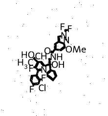 COc1cc(C(=O)NC[C@@](O)(c2ccccc2)c2cc(C(C)(C)O)c(F)c(-c3ccc(F)c(Cl)c3F)n2)cc2cn(C(F)F)nc12